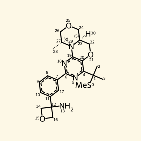 CSC(C)(C)c1nc(-c2cccc(C3(N)COC3)c2)nc2c1OC[C@@H]1COC[C@@H](C)N21